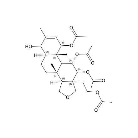 CC(=O)OCC[C@]12COC[C@H]1[C@]1(C)CC[C@H]3C(O)C(C)=C[C@@H](OC(C)=O)[C@]3(C)C1[C@H](OC(C)=O)[C@@H]2OC(C)=O